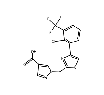 O=C(O)c1cnn(Cc2nc(-c3cccc(C(F)(F)F)c3Cl)cs2)c1